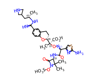 C[C@@H](CC1CNC1)NC(=N)c1ccc2c(c1)CC[C@H]([C@](C)(O/N=C(\C(=O)N[C@@H]1C(=O)N(OS(=O)(=O)O)C1(C)C)c1csc(N)n1)C(=O)O)O2